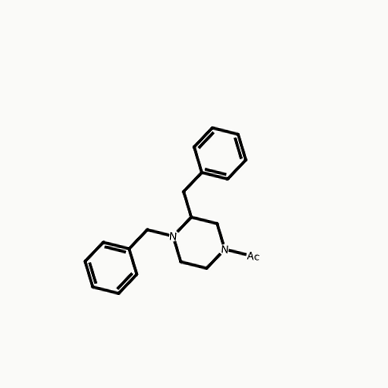 CC(=O)N1CCN(Cc2ccccc2)C(Cc2ccccc2)C1